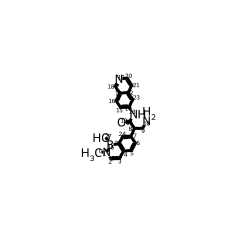 CN1C=Cc2ccc(C(CN)C(=O)Nc3ccc4cnccc4c3)cc2B1O